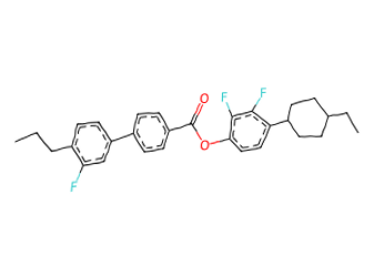 CCCc1ccc(-c2ccc(C(=O)Oc3ccc(C4CCC(CC)CC4)c(F)c3F)cc2)cc1F